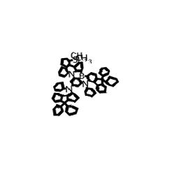 C[Si]1(C)c2ccccc2-c2c1ccc1c2N(c2ccccc2)c2cc(N(c3ccccc3)c3cccc4c3-c3ccccc3C4(c3ccccc3)c3ccccc3)cc3c2B1c1ccc2c(c1N3c1ccccc1)-c1ccccc1C2(c1ccccc1)c1ccccc1